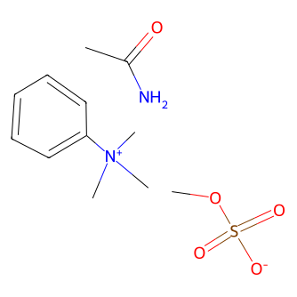 CC(N)=O.COS(=O)(=O)[O-].C[N+](C)(C)c1ccccc1